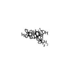 CC1(C)O[C@@H]2[C@@H](CO)C[C@@H](N)[C@@H]2O1.O=C(O)C(=O)O